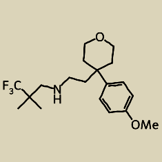 COc1ccc(C2(CCNCC(C)(C)C(F)(F)F)CCOCC2)cc1